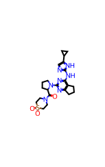 O=C(C1CCCN1c1nc2c(c(Nc3ncc(C4CC4)[nH]3)n1)CCC2)N1CCS(=O)(=O)CC1